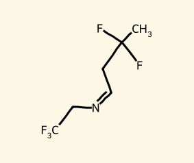 CC(F)(F)C/C=N\CC(F)(F)F